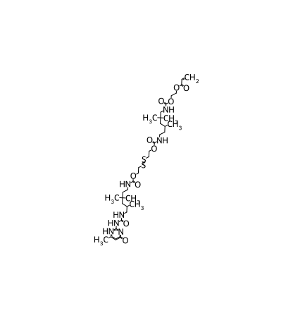 C=CC(=O)OCCOC(=O)NCC(C)(C)CC(C)CCNC(=O)OCCSSCCOC(=O)NCCC(C)(C)CC(C)CNC(=O)Nc1nc(=O)cc(C)[nH]1